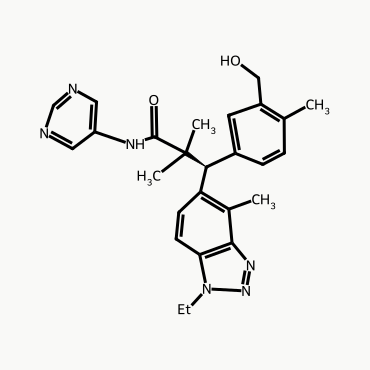 CCn1nnc2c(C)c([C@H](c3ccc(C)c(CO)c3)C(C)(C)C(=O)Nc3cncnc3)ccc21